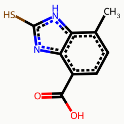 Cc1ccc(C(=O)O)c2nc(S)[nH]c12